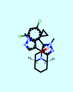 Cn1nc2c(c1-c1cc(Cl)cc(Cl)c1)C[C@@H]1CCC[C@H]2N1C(=O)c1cnn(C)c1C1CC1